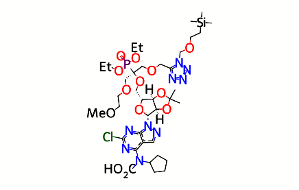 CCOP(=O)(OCC)[C@@](COCCOC)(COCc1nnnn1COCC[Si](C)(C)C)OC[C@H]1O[C@@H](n2ncc3c(N(C(=O)O)C4CCCC4)nc(Cl)nc32)[C@@H]2OC(C)(C)O[C@@H]21